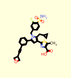 Cc1sc(-c2cc(-c3cccc(C#CC4COC4)c3)n(Cc3ccc(S(N)(=O)=O)c(F)c3)c2CC2CC2)nc1C(=O)O